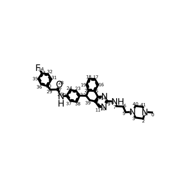 CN1CCN(CCCNc2ncc3c(n2)-c2ccccc2C(c2ccc(NC(=O)Cc4ccc(F)cc4)cc2)C3)CC1